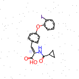 O=C(O)/C(=C/c1ccc(Oc2ccccc2I)cc1)NC(=O)C1CC1